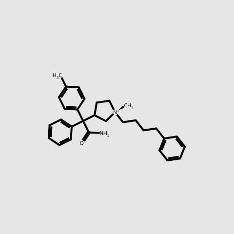 Cc1ccc(C(C(N)=O)(c2ccccc2)C2CC[N@+](C)(CCCCc3ccccc3)C2)cc1